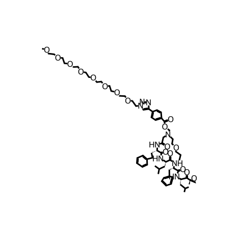 CCCOCCN(COC(=O)c1ccc(-c2cn(CCOCCOCCOCCOCCOCCOCCOCCOC)nn2)cc1)CC(=O)N[C@@H](CCc1ccccc1)C(=O)N[C@@H](CC(C)C)C(=O)N[C@@H](Cc1ccccc1)C(=O)N[C@@H](CC(C)C)C(=O)[C@@]1(C)CO1